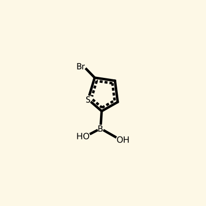 OB(O)c1ccc(Br)s1